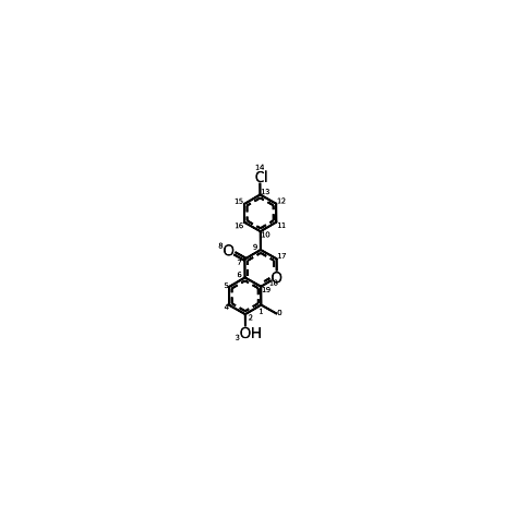 Cc1c(O)ccc2c(=O)c(-c3ccc(Cl)cc3)coc12